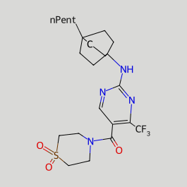 CCCCCC12CCC(Nc3ncc(C(=O)N4CCS(=O)(=O)CC4)c(C(F)(F)F)n3)(CC1)CC2